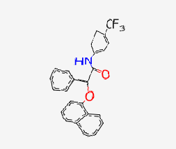 O=C(NC1=CC=C(C(F)(F)F)CC1)C(Oc1cccc2ccccc12)c1ccccc1